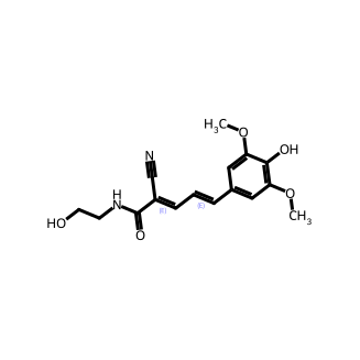 COc1cc(/C=C/C=C(\C#N)C(=O)NCCO)cc(OC)c1O